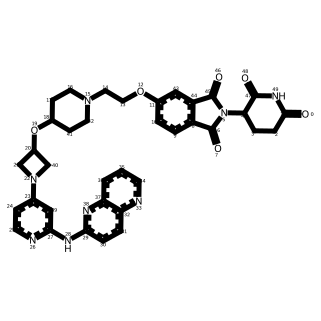 O=C1CCC(N2C(=O)c3ccc(OCCN4CCC(OC5CN(c6ccnc(Nc7ccc8ncccc8n7)c6)C5)CC4)cc3C2=O)C(=O)N1